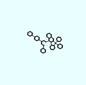 c1ccc(-c2ccc(-c3cc(-c4ccccc4)nc(-c4c5c(cc6ccccc46)C(c4ccccc4)(c4ccccc4)c4ccccc4-5)c3)cc2)cc1